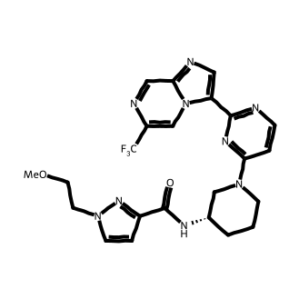 COCCn1ccc(C(=O)N[C@H]2CCCN(c3ccnc(-c4cnc5cnc(C(F)(F)F)cn45)n3)C2)n1